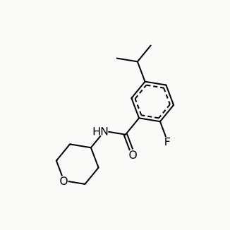 CC(C)c1ccc(F)c(C(=O)NC2CCOCC2)c1